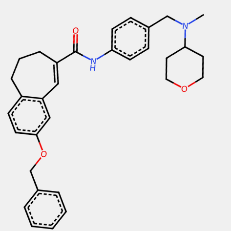 CN(Cc1ccc(NC(=O)C2=Cc3cc(OCc4ccccc4)ccc3CCC2)cc1)C1CCOCC1